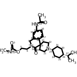 CNC(=O)OCCN1Cc2cc(NC(C)=O)ccc2C2(CCN([C@H]3CC[C@@H](C(C)C)CC3)CC2)C1=O